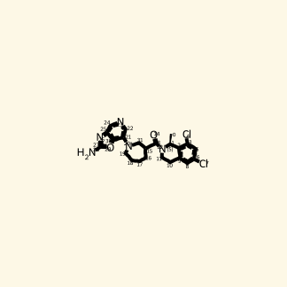 C[C@H]1c2c(Cl)cc(Cl)cc2CCN1C(=O)C1CCCCN(c2cncc3nc(N)oc23)C1